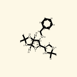 CC1(C)O[C@H]2O[C@H]([C@H]3COC(C)(C)O3)[C@@H](OCc3ccccc3)[C@H]2O1